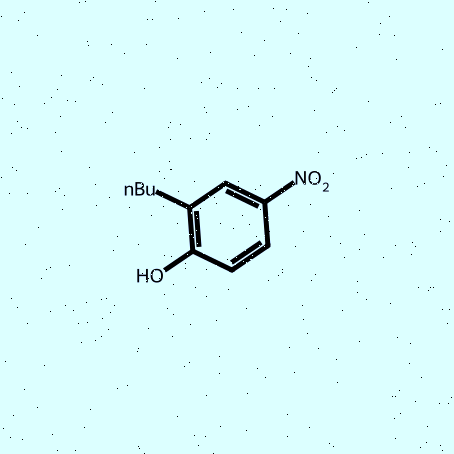 CCCCc1cc([N+](=O)[O-])ccc1O